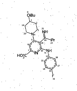 CC(C)COC1CCN(c2cc(C(=O)O)nc(Nc3ccc(F)cc3)c2C(=N)C(C)C)CC1